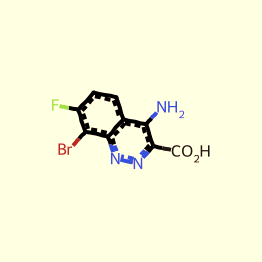 Nc1c(C(=O)O)nnc2c(Br)c(F)ccc12